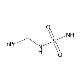 CCCCNS([NH])(=O)=O